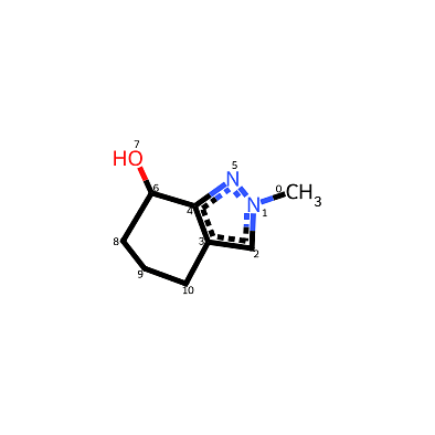 Cn1cc2c(n1)C(O)CCC2